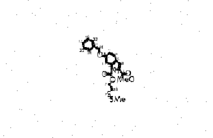 COC(=O)c1cc2ccc(OCc3ccccc3)cc2n1C(=O)OCCSSC